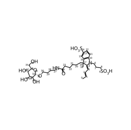 C/C=C/C=C1/N(CCCS(=O)(=O)O)c2ccc(S(=O)(=O)O)cc2C1(C)CCCCCC(=O)NCCCCO[C@H]1O[C@H](CO)[C@@H](O)[C@H](O)[C@@H]1O